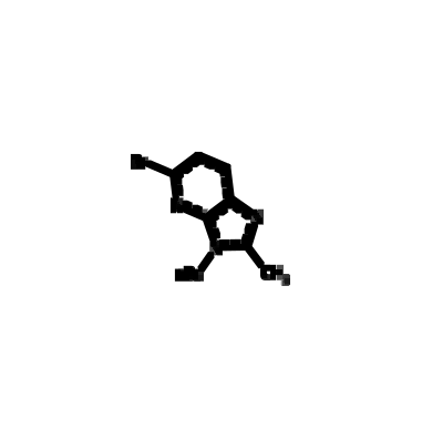 CCCCn1c(C)nc2ccc(Br)nc21